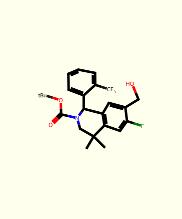 CC(C)(C)OC(=O)N1CC(C)(C)c2cc(F)c(CO)cc2C1c1ccccc1C(F)(F)F